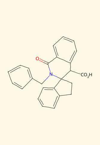 O=C(O)C1c2ccccc2C(=O)N(Cc2ccccc2)C12CCc1ccccc12